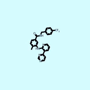 Cc1ccc(C(=O)NCc2ccc(C(F)(F)F)cc2)cc1Nc1ncccc1-c1ccncn1